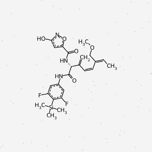 C=C(/C=C\C(=C/C)COC)[C@@H](NC(=O)c1cc(O)no1)C(=O)Nc1cc(F)c([Si](C)(C)C)c(F)c1